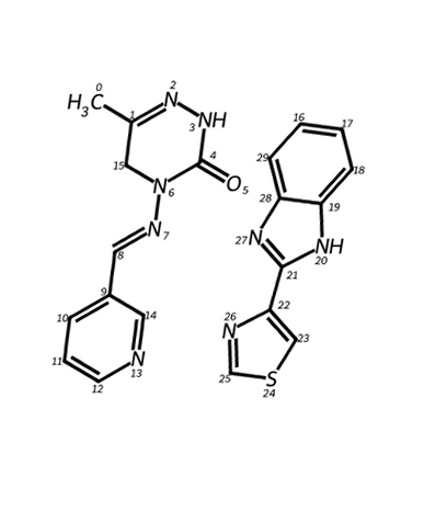 CC1=NNC(=O)N(/N=C/c2cccnc2)C1.c1ccc2[nH]c(-c3cscn3)nc2c1